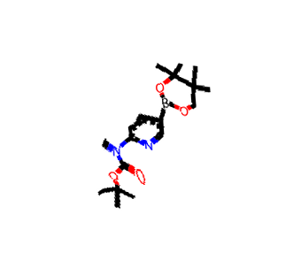 CN(C(=O)OC(C)(C)C)c1ccc(B2OCC(C)(C)C(C)(C)O2)cn1